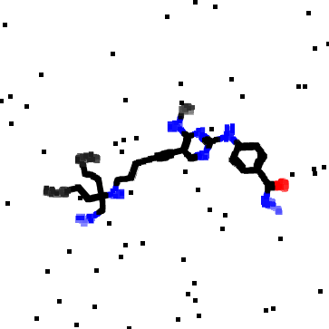 CCCNc1nc(Nc2ccc(C(N)=O)cc2)ncc1C#CCCCNC(CN)(CCOC)CCOC